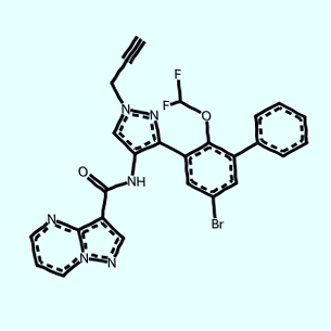 C#CCn1cc(NC(=O)c2cnn3cccnc23)c(-c2cc(Br)cc(-c3ccccc3)c2OC(F)F)n1